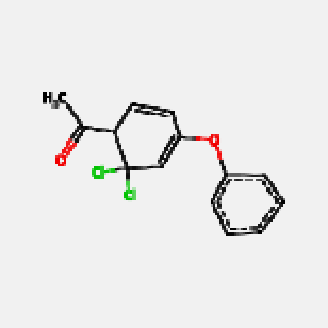 CC(=O)C1C=CC(Oc2ccccc2)=CC1(Cl)Cl